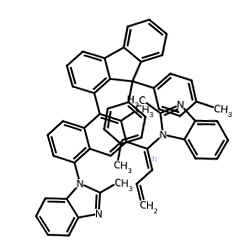 C=C/C=C(\c1cc2c(-n3c(C)nc4ccccc43)cccc2c(-c2cccc3c2C(c2ccc(C)cc2)(c2ccc(C)cc2)c2ccccc2-3)c1C)n1c(C)nc2ccccc21